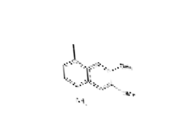 COc1cc2c(N)ccc(I)c2cc1OC